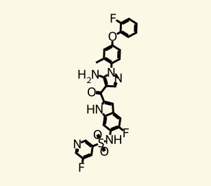 Cc1cc(Oc2ccccc2F)ccc1-n1ncc(C(=O)c2cc3cc(F)c(NS(=O)(=O)c4cncc(F)c4)cc3[nH]2)c1N